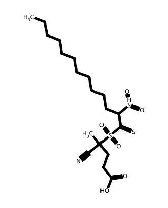 CCCCCCCCCCCC(C(=S)S(=O)(=O)C(C)(C#N)CCC(=O)O)[SH](=O)=O